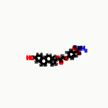 C[C@]12CCC3c4ccc(O)cc4CCC3C1CC[C@@H]2OC(=O)COc1ccc(S(N)(=O)=O)cc1